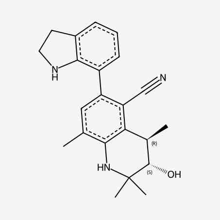 Cc1cc(-c2cccc3c2NCC3)c(C#N)c2c1NC(C)(C)[C@@H](O)[C@@H]2C